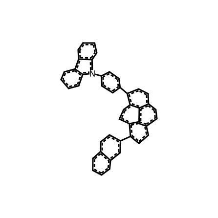 c1ccc2cc(-c3ccc4ccc5ccc(-c6ccc(-n7c8ccccc8c8ccccc87)cc6)c6ccc3c4c56)ccc2c1